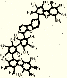 Bc1c(B)c(-c2c(B)c(B)c(B)c(-c3c(B)c(B)c(B)c4c3oc3c(B)c(B)c(B)c(B)c34)c2B)c(B)c(-c2ncnc3c2oc2ccc(-c4c(B)c(B)c(B)c5c4oc4c(B)c(B)c(B)c(B)c45)cc23)c1B